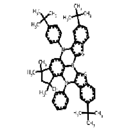 CC(C)(C)c1ccc(N2c3cc4c(c5c3B(c3sc6ccc(C(C)(C)C)cc6c32)c2sc3ccc(C(C)(C)C)cc3c2N5c2ccccc2)C(C)(C)CC4(C)C)cc1